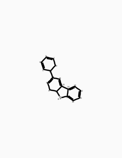 C1=CCC(C2=CCC3Sc4ccccc4C3=C2)C=C1